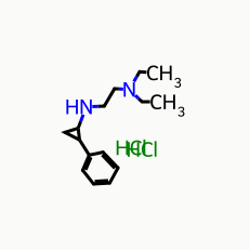 CCN(CC)CCNC1CC1c1ccccc1.Cl.Cl